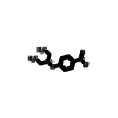 CC[N+](CC)Oc1ccc([N+](=O)[O-])cc1